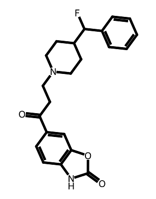 O=C(CCN1CCC(C(F)c2ccccc2)CC1)c1ccc2[nH]c(=O)oc2c1